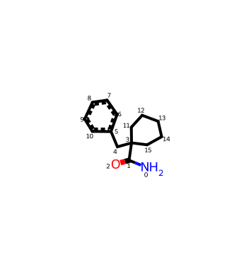 NC(=O)C1(Cc2ccccc2)CCCCC1